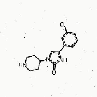 O=c1[nH]c(-c2cccc(Cl)c2)cn1C1CCNCC1